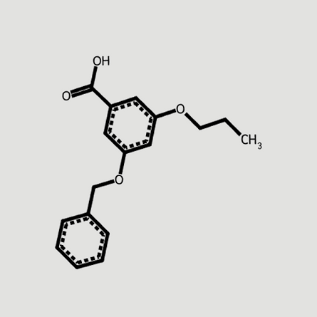 CCCOc1cc(OCc2ccccc2)cc(C(=O)O)c1